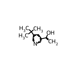 C=C(O)c1cncc(C(C)(C)C)c1